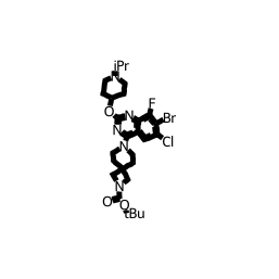 CC(C)N1CCC(Oc2nc(N3CCC4(CC3)CN(C(=O)OC(C)(C)C)C4)c3cc(Cl)c(Br)c(F)c3n2)CC1